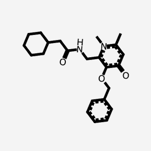 Cc1cc(=O)c(OCc2ccccc2)c(CNC(=O)CC2CCCCC2)n1C